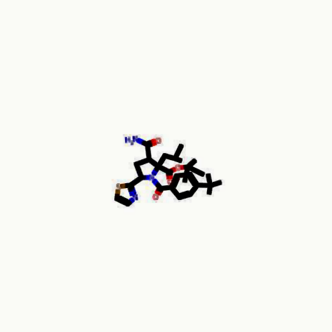 CC(C)CC1(C(=O)OC(C)(C)C)C(C(N)=O)CC(c2nccs2)N1C(=O)c1ccc(C(C)(C)C)cc1